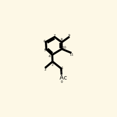 CC(=O)CC(C)c1cccc(C)c1C